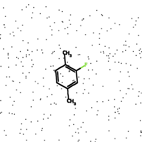 Cc1c[c]c(C)c(F)c1